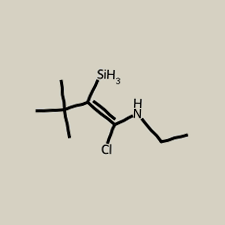 CCNC(Cl)=C([SiH3])C(C)(C)C